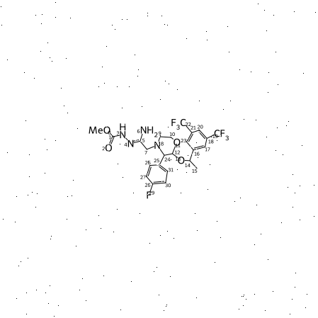 COC(=O)N/N=C(\N)CN1CCOC(OC(C)c2cc(C(F)(F)F)cc(C(F)(F)F)c2)C1c1ccc(F)cc1